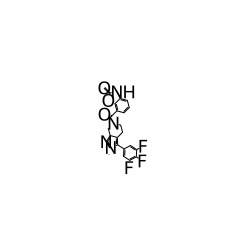 Cn1nc2c(c1-c1cc(F)c(F)c(F)c1)CCN(C(=O)c1cccc3[nH]c(=O)oc13)C2